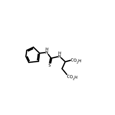 O=C(O)CC(NC(=S)Nc1ccccc1)C(=O)O